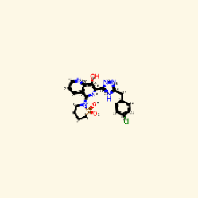 O=S1(=O)CCCCN1c1nc(-c2nnc(Cc3ccc(Cl)cc3)[nH]2)c(O)c2ncccc12